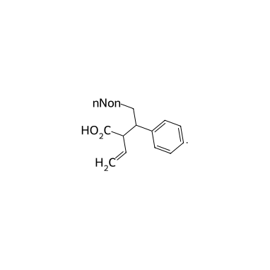 C=CC(C(=O)O)C(CCCCCCCCCC)c1cc[c]cc1